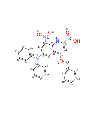 O=C(O)c1cc(OCc2ccccc2)c2cc(N(c3ccccc3)c3ccccc3)cc([N+](=O)[O-])c2n1